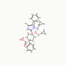 Cc1nc([C@]2(OCC3CC3)CC[C@](C(=O)O)(c3ccccc3)CC2)n(CC2CC2)c1-c1ccccc1